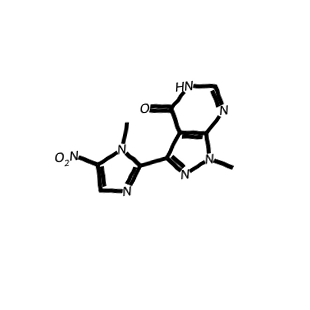 Cn1c([N+](=O)[O-])cnc1-c1nn(C)c2nc[nH]c(=O)c12